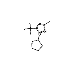 Cc1cc(C(C)(C)C)n(C2CCCC2)n1